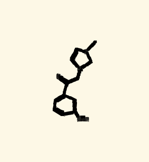 COc1cccc(C(=O)CN2C=CN(C)C2)c1